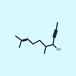 CC#CC(O)C(C)CCC=C(C)C